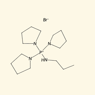 CCCN[P+](N1CCCC1)(N1CCCC1)N1CCCC1.[Br-]